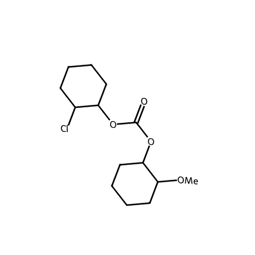 COC1CCCCC1OC(=O)OC1CCCCC1Cl